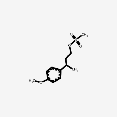 COc1ccc(C(C)CCOS(C)(=O)=O)cc1